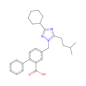 CC(C)CCc1nc(C2CCCCC2)nn1Cc1ccc(-c2ccccc2)c(C(=O)O)c1